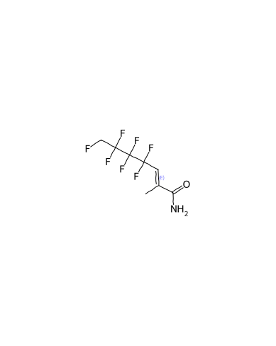 C/C(=C\C(F)(F)C(F)(F)C(F)(F)CF)C(N)=O